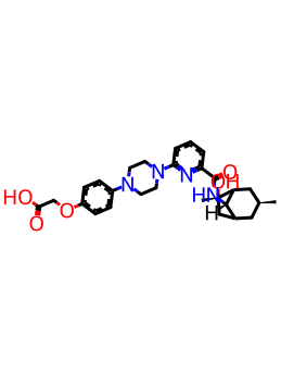 C[C@H]1CC2C[C@](C)(O)C(C1)[C@H]2NC(=O)c1cccc(N2CCN(c3ccc(OCC(=O)O)cc3)CC2)n1